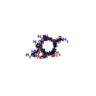 Cc1sc2nc1C(=O)N[C@@H]([C@H](OCC(=O)NCCN(C)C)c1ccccc1)c1nc(cs1)C(=O)N[C@@H](Cc1ccc(O)cc1)C(=O)N1C[C@H](O)[C@H](C)[C@H]1c1nc(cs1)-c1nc(cs1)-c1nc(-c3nc(C(N)=O)cs3)ccc1-c1nc(cs1)C(=O)N[C@H]2CC(N)=O